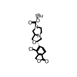 CC(C)(C)OC(=O)N1CCN2C[C@H](c3ccc4c(c3Cl)COC4=O)OCC2C1